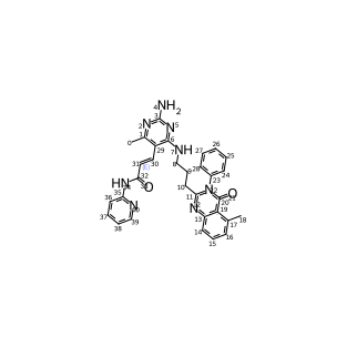 Cc1nc(N)nc(NCCCc2nc3cccc(C)c3c(=O)n2-c2ccccc2)c1/C=C/C(=O)Nc1ccccn1